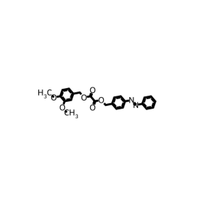 COc1ccc(COC(=O)C(=O)OCc2ccc(N=Nc3ccccc3)cc2)cc1OC